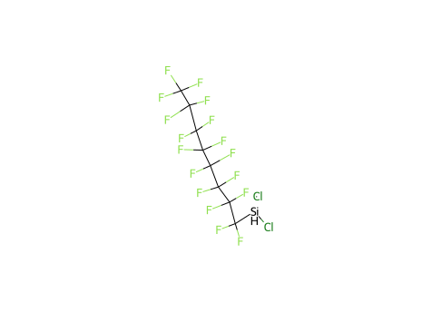 FC(F)(F)C(F)(F)C(F)(F)C(F)(F)C(F)(F)C(F)(F)C(F)(F)C(F)(F)[SiH](Cl)Cl